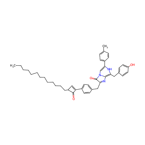 CCCCCCCCCCCCCC1C=C(c2ccc(Cc3nc4c(Cc5ccc(O)cc5)[nH]c(-c5ccc(C)cc5)cn-4c3=O)cc2)C1=O